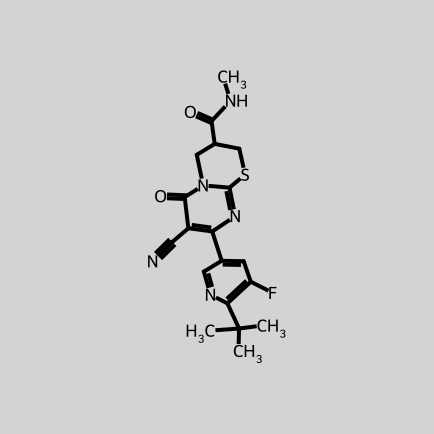 CNC(=O)C1CSc2nc(-c3cnc(C(C)(C)C)c(F)c3)c(C#N)c(=O)n2C1